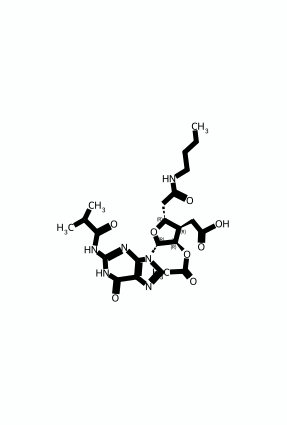 CCCCNC(=O)C[C@H]1O[C@@H](n2cnc3c(=O)[nH]c(NC(=O)C(C)C)nc32)[C@H](OC(C)=O)[C@@H]1CC(=O)O